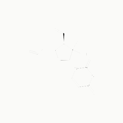 CC1(O)[C@H](C=O)[C@@H](CC=O)O[C@H]1n1ccc(=O)[nH]c1=O